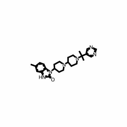 Cc1ccc2c(c1)[nH]c(=O)n2C1CCN(C2CCN(C(C)(C)c3cncnc3)CC2)CC1